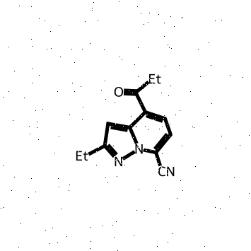 CCC(=O)c1ccc(C#N)n2nc(CC)cc12